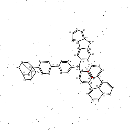 c1ccc(-c2cccc3cccc(-c4ccc(N(c5ccc(-c6ccc(C78CC9CC(CC(C9)C7)C8)cc6)cc5)c5ccc6sc7ccccc7c6c5)cc4)c23)cc1